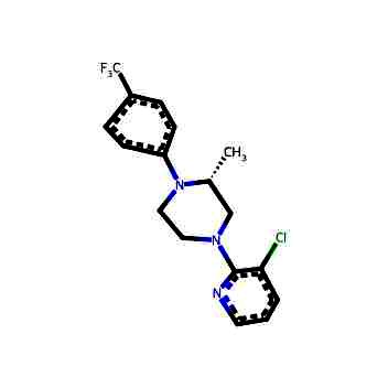 C[C@@H]1CN(c2ncccc2Cl)CCN1c1ccc(C(F)(F)F)cc1